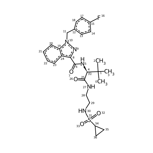 CC(C)(C)[C@H](NC(=O)c1nn(Cc2ccc(F)cc2)c2ccccc12)C(=O)NCCNS(=O)(=O)C1CC1